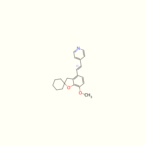 COc1ccc(/C=C/c2ccncc2)c2c1OC1(CCCCC1)C2